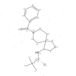 CC(C)(C)[S@@+]([O-])NC1COCC12CCN(C(=O)c1ccccc1)CC2